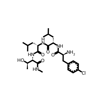 CNC(=O)[C@@H](NC(=O)[C@H](CC(C)C)NC(=O)[C@H](CC(C)C)NC(=O)[C@@H](N)Cc1ccc(Cl)cc1)[C@@H](C)O